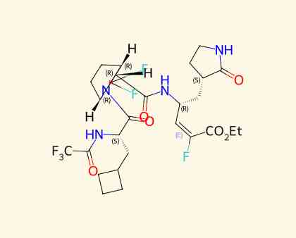 CCOC(=O)/C(F)=C\[C@@H](C[C@@H]1CCNC1=O)NC(=O)[C@H]1[C@H]2CC[C@H](CC2(F)F)N1C(=O)[C@H](CC1CCC1)NC(=O)C(F)(F)F